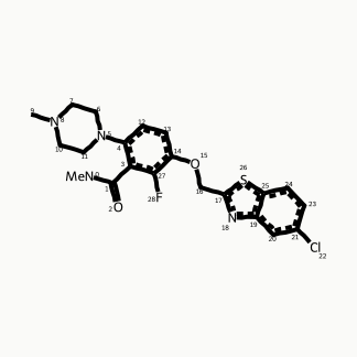 CNC(=O)c1c(N2CCN(C)CC2)ccc(OCc2nc3cc(Cl)ccc3s2)c1F